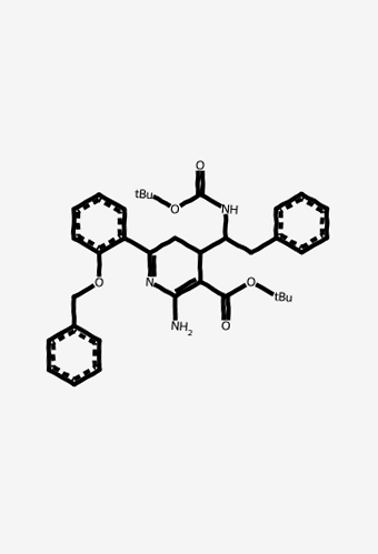 CC(C)(C)OC(=O)NC(Cc1ccccc1)C1CC(c2ccccc2OCc2ccccc2)=NC(N)=C1C(=O)OC(C)(C)C